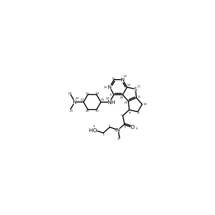 CN(CCO)C(=O)CC1CCc2sc3ncnc(NC4CCC(N(C)C)CC4)c3c21